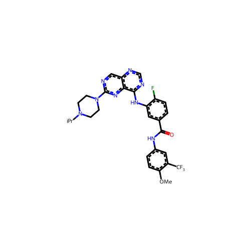 COc1ccc(NC(=O)c2ccc(F)c(Nc3ncnc4cnc(N5CCN(C(C)C)CC5)nc34)c2)cc1C(F)(F)F